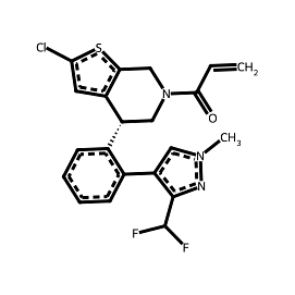 C=CC(=O)N1Cc2sc(Cl)cc2[C@@H](c2ccccc2-c2cn(C)nc2C(F)F)C1